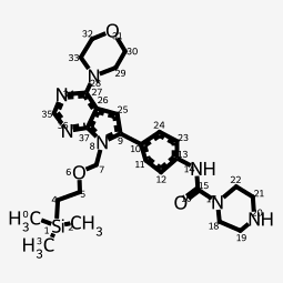 C[Si](C)(C)CCOCn1c(-c2ccc(NC(=O)N3CCNCC3)cc2)cc2c(N3CCOCC3)ncnc21